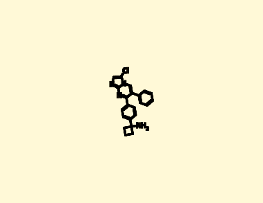 NC1(c2ccc(-c3nc4ncc(Cl)n4cc3-c3ccccc3)cc2)CCC1